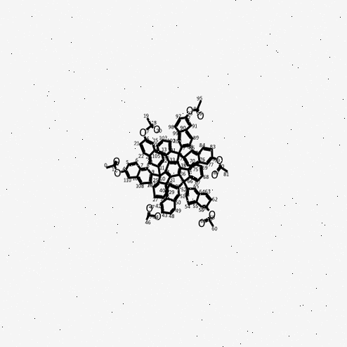 CC(=O)Oc1ccc2cc(C3(c4ccc5cc(OC(C)=O)ccc5c4)c4ccccc4-c4c3c3c(c5c4C(c4ccc6cc(OC(C)=O)ccc6c4)(c4ccc6cc(OC(C)=O)ccc6c4)c4ccccc4-5)C(c4ccc5cc(OC(C)=O)ccc5c4)(c4ccc5cc(OC(C)=O)ccc5c4)c4ccccc4-3)ccc2c1